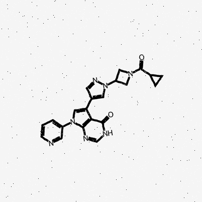 O=C(C1CC1)N1CC(n2cc(-c3cn(-c4cccnc4)c4nc[nH]c(=O)c34)cn2)C1